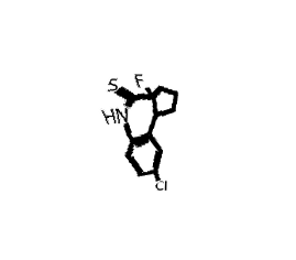 FC12CCCC1c1cc(Cl)ccc1NC2=S